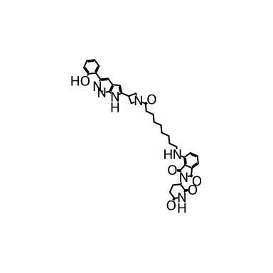 O=C1CCC(N2C(=O)c3cccc(NCCCCCCCCC(=O)N4CC(c5cc6cc(-c7ccccc7O)nnc6[nH]5)C4)c3C2=O)C(=O)N1